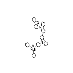 c1ccc(-c2nc(-c3ccccc3)nc(-c3ccc(-n4c5ccccc5c5cc(-c6ccc7c8ccccc8n(-c8cccc9c8oc8ccccc89)c7c6)ccc54)cc3)n2)cc1